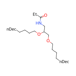 CCCCCCCCCCCCCCOCC(CNC(=O)CC)OCCCCCCCCCCCCCC